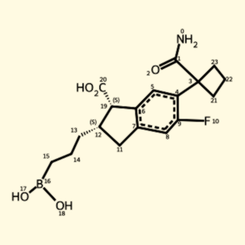 NC(=O)C1(c2cc3c(cc2F)C[C@H](CCCB(O)O)[C@@H]3C(=O)O)CCC1